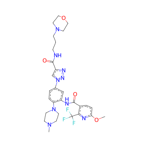 COc1ccc(C(=O)Nc2cc(-n3cc(C(=O)NCCCN4CCOCC4)nn3)ccc2N2CCN(C)CC2)c(C(F)(F)F)n1